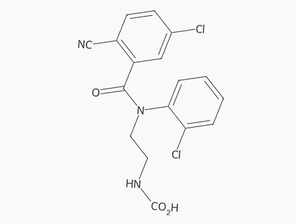 N#Cc1ccc(Cl)cc1C(=O)N(CCNC(=O)O)c1ccccc1Cl